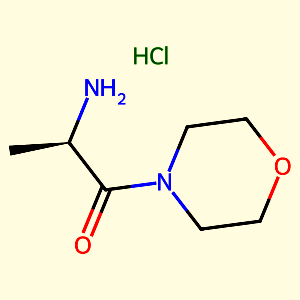 C[C@@H](N)C(=O)N1CCOCC1.Cl